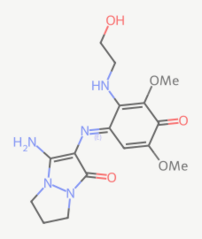 COC1=C/C(=N\c2c(N)n3n(c2=O)CCC3)C(NCCO)=C(OC)C1=O